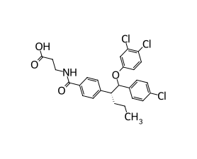 CCC[C@H](c1ccc(C(=O)NCCC(=O)O)cc1)C(Oc1ccc(Cl)c(Cl)c1)c1ccc(Cl)cc1